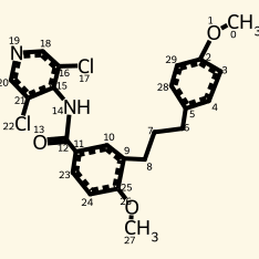 COc1ccc(CCCc2cc(C(=O)Nc3c(Cl)cncc3Cl)ccc2OC)cc1